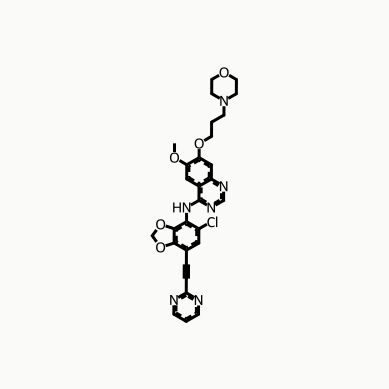 COc1cc2c(Nc3c(Cl)cc(C#Cc4ncccn4)c4c3OCO4)ncnc2cc1OCCCN1CCOCC1